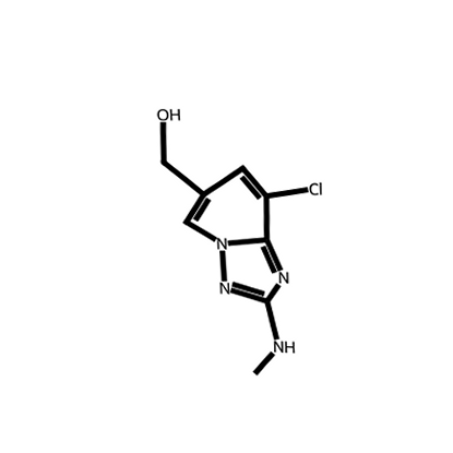 CNc1nc2c(Cl)cc(CO)cn2n1